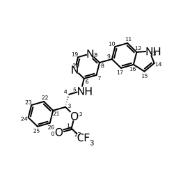 O=C(O[C@@H](CNc1cc(-c2ccc3[nH]ccc3c2)ncn1)c1ccccc1)C(F)(F)F